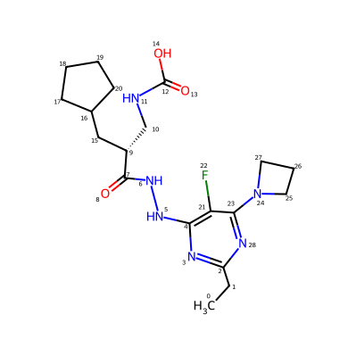 CCc1nc(NNC(=O)[C@@H](CNC(=O)O)CC2CCCC2)c(F)c(N2CCC2)n1